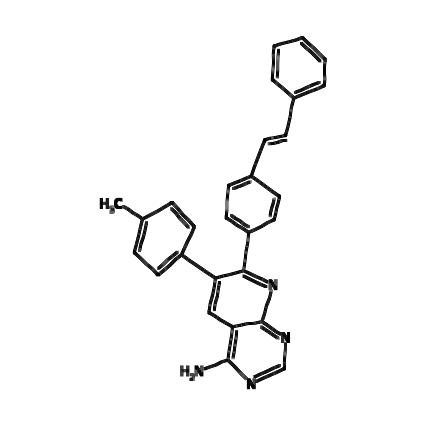 Cc1ccc(-c2cc3c(N)ncnc3nc2-c2ccc(C=Cc3ccccc3)cc2)cc1